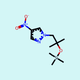 CC(C)(Cn1cc([N+](=O)[O-])cn1)O[Si](C)(C)C